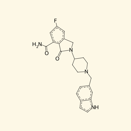 NC(=O)c1cc(F)cc2c1C(=O)N(C1CCN(Cc3ccc4cc[nH]c4c3)CC1)C2